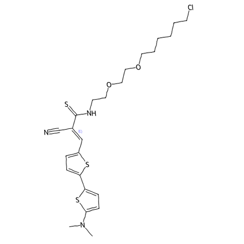 CN(C)c1ccc(-c2ccc(/C=C(\C#N)C(=S)NCCOCCOCCCCCCCl)s2)s1